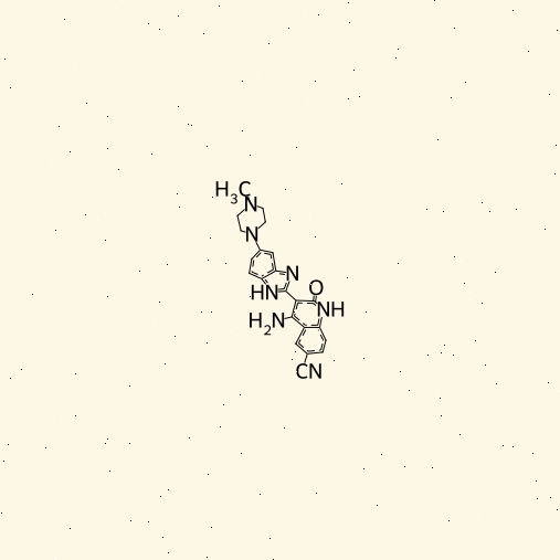 CN1CCN(c2ccc3[nH]c(-c4c(N)c5cc(C#N)ccc5[nH]c4=O)nc3c2)CC1